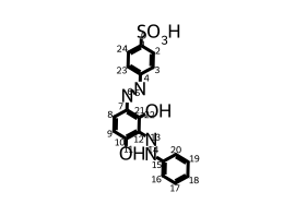 O=S(=O)(O)c1ccc(N=Nc2ccc(O)c(/N=N/c3ccccc3)c2O)cc1